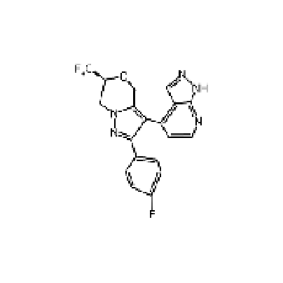 Fc1ccc(-c2nn3c(c2-c2ccnc4[nH]ncc24)CO[C@H](C(F)(F)F)C3)cc1